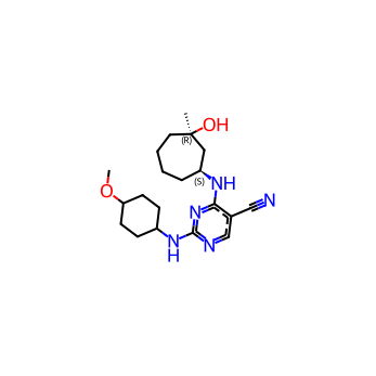 COC1CCC(Nc2ncc(C#N)c(N[C@H]3CCCC[C@@](C)(O)C3)n2)CC1